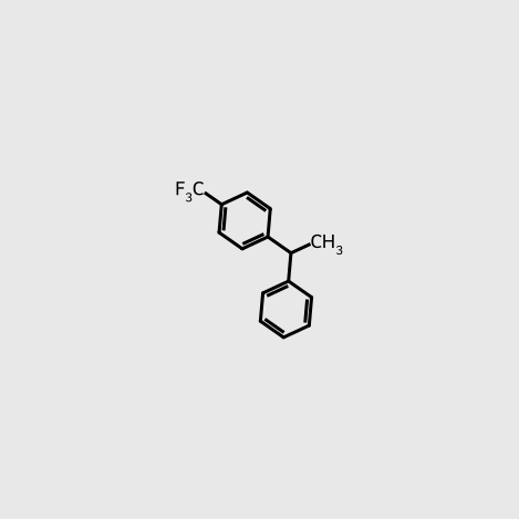 CC(c1ccccc1)c1ccc(C(F)(F)F)cc1